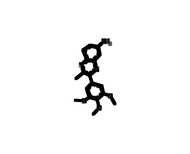 COc1cc(-c2nc3cc(N)ccc3nc2C)cc(OC)c1OC